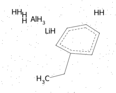 CCc1ccccc1.[AlH3].[HH].[HH].[HH].[LiH]